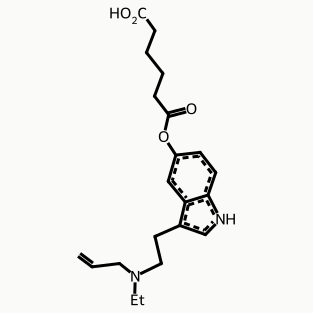 C=CCN(CC)CCc1c[nH]c2ccc(OC(=O)CCCCC(=O)O)cc12